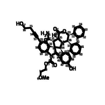 COCCOC(=O)N1C(=O)[C@@]2(c3cc(C#CCCO)ccc31)[C@H](C(N)=O)[C@H]1C(=O)O[C@H](c3ccccc3)[C@H](c3ccccc3)N1[C@@H]2c1ccc(O)cc1